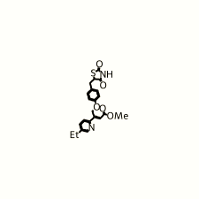 CCc1ccc(C(=CC(=O)OC)COc2ccc(CC3SC(=O)NC3=O)cc2)nc1